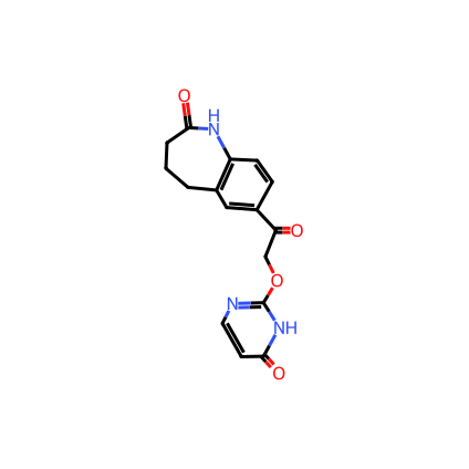 O=C1CCCc2cc(C(=O)COc3nccc(=O)[nH]3)ccc2N1